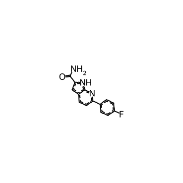 NC(=O)c1cc2ccc(-c3ccc(F)cc3)nc2[nH]1